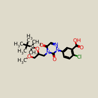 COCC(Cn1c(=O)cnn(-c2ccc(Cl)c(C(=O)O)c2)c1=O)O[Si](C)(C)C(C)(C)C